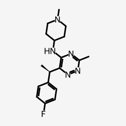 Cc1nnc([C@H](C)c2ccc(F)cc2)c(NC2CCN(C)CC2)n1